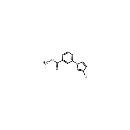 COC(=O)c1cccc(-n2ccc(Cl)n2)c1